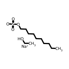 CCCCCCCCCCOS(=O)(=O)[O-].CCO.[Na+]